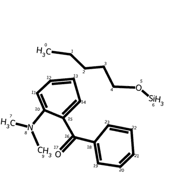 CCCCCO[SiH3].CN(C)c1ccccc1C(=O)c1ccccc1